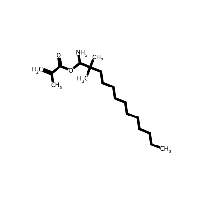 C=C(C)C(=O)OC(N)C(C)(C)CCCCCCCCCCC